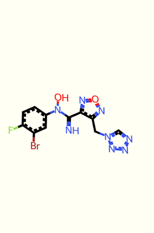 N=C(c1nonc1Cn1cnnn1)N(O)c1ccc(F)c(Br)c1